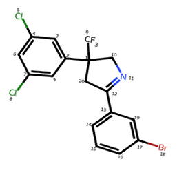 FC(F)(F)C1(c2cc(Cl)cc(Cl)c2)CN=C(c2cc[c]c(Br)c2)C1